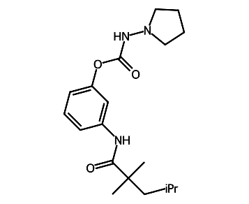 CC(C)CC(C)(C)C(=O)Nc1cccc(OC(=O)NN2CCCC2)c1